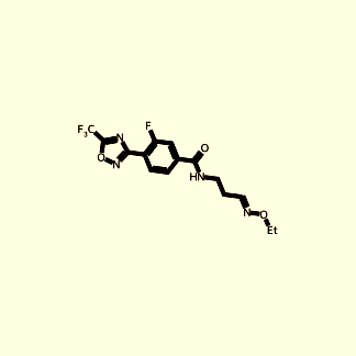 CCON=CCCNC(=O)c1ccc(-c2noc(C(F)(F)F)n2)c(F)c1